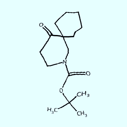 CC(C)(C)OC(=O)N1CCC(=O)C2(CCCCC2)C1